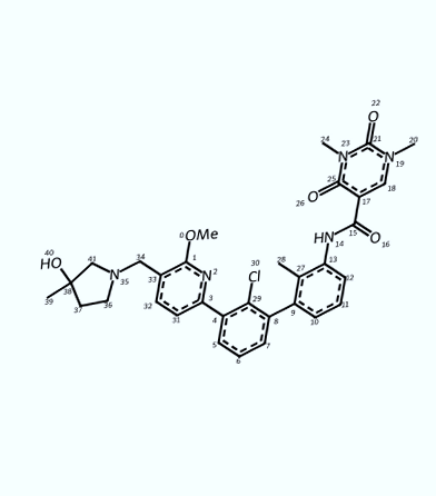 COc1nc(-c2cccc(-c3cccc(NC(=O)c4cn(C)c(=O)n(C)c4=O)c3C)c2Cl)ccc1CN1CCC(C)(O)C1